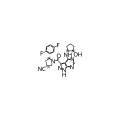 N#C[C@H]1C[C@H](c2cc(F)ccc2F)N(C(=O)c2n[nH]c3ncnc(N[C@@H]4CCC[C@H]4O)c23)C1